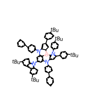 CC(C)(C)c1ccc(C2=CC3B4c5c(cc(-n6c7ccc(C(C)(C)C)cc7c7cc(C(C)(C)C)ccc76)cc5N(c5ccc(-c6ccccc6)cc5)c5cc(-c6ccc(C(C)(C)C)cc6)n(-c6ccc(C(C)(C)C)cc6)c54)N(c4ccc(-c5ccccc5)cc4)C3=C2)cc1